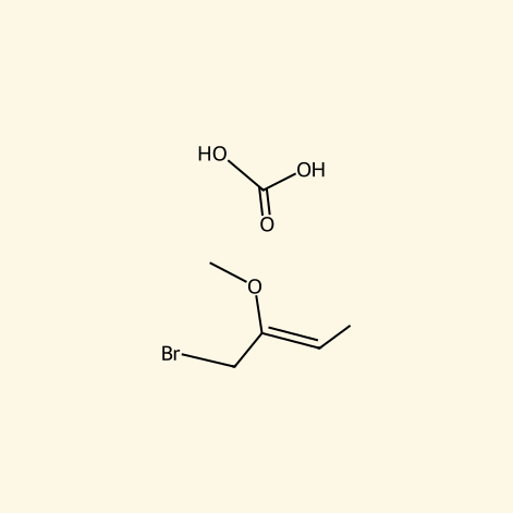 CC=C(CBr)OC.O=C(O)O